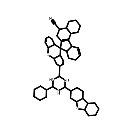 N#CC1CC2=C(C3C=CCCC3C23C2CCC=CC2OC2CC(C4NC(C5CCCCC5)NC(C5CCC6C(C5)OC5CCCCC56)N4)CCC23)C2CCCCC12